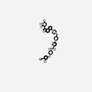 N#Cc1ccc(O[C@H]2CC[C@H](NC(=O)c3ccc(N4CCC(CN5CCN(c6cccc7c6ccc6occ(C8CCC(=O)NC8=O)c67)CC5)CC4)nn3)CC2)cc1Cl